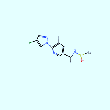 Cc1cc(C(C)N[S+]([O-])C(C)(C)C)cnc1-n1cc(Cl)cn1